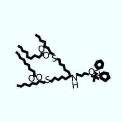 CCCCCCCCC(=O)OC(CCCCCC)CSCCCCCC(CCCCCSCC(CCCCCC)OC(=O)CCCCCCCC)NCCCCO[Si](c1ccccc1)(c1ccccc1)C(C)(C)C